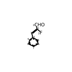 O=CC(F)=Cc1ccccc1